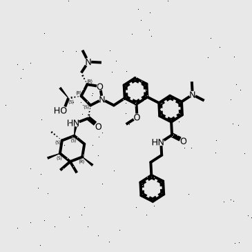 COc1c(CN2O[C@@H](CN(C)C)[C@@H]([C@H](C)O)[C@H]2C(=O)N[C@H]2C[C@@H](C)C(C)(C)[C@@H](C)[C@@H]2C)cccc1-c1cc(C(=O)NCCc2ccccc2)cc(N(C)C)c1